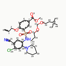 C=CCOc1ccc(C(=O)OC)cc1S(=O)(=O)Nc1cc(C#N)c(Cl)cc1N1CCCC[C@H]1CCCOCOCC[Si](C)(C)C